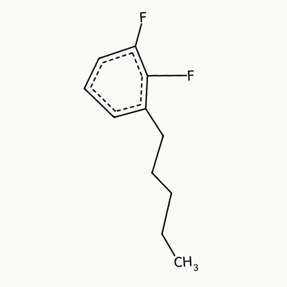 CCCCCc1cccc(F)c1F